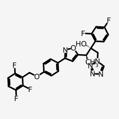 C[C@@H](c1cc(-c2ccc(OCc3c(F)ccc(F)c3F)cc2)no1)[C@](O)(Cn1cnnn1)c1ccc(F)cc1F